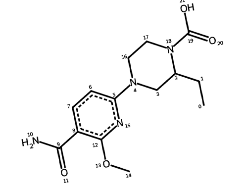 CCC1CN(c2ccc(C(N)=O)c(OC)n2)CCN1C(=O)O